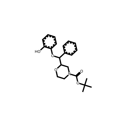 CC(C)(C)OC(=O)N1CCOC(C(Oc2ccccc2O)c2ccccc2)C1